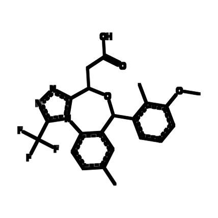 COc1cccc(C2OC(CC(=O)O)c3nnc(C(F)(F)F)n3-c3ccc(C)cc32)c1C